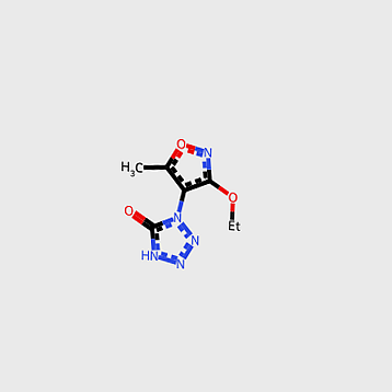 CCOc1noc(C)c1-n1nn[nH]c1=O